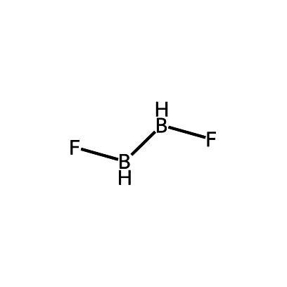 FBBF